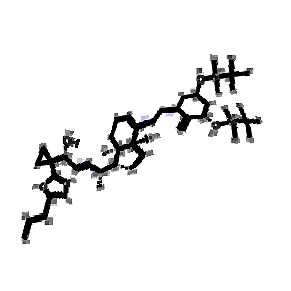 C=C1/C(=C\C=C2/CCC[C@]3(C)[C@@H]([C@H](C)/C=C/[C@@H](O)C4(c5ncc(CCC)o5)CC4)CC[C@@H]23)C[C@@H](O[Si](C)(C)C(C)(C)C)C[C@@H]1O[Si](C)(C)C(C)(C)C